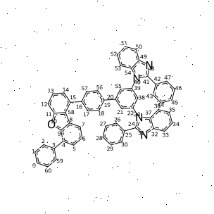 c1ccc(-c2cccc3c2oc2cccc(-c4ccc(-c5cc(-n6c(-c7ccccc7)nc7ccccc76)cc(-n6c(-c7ccccc7)nc7ccccc76)c5)cc4)c23)cc1